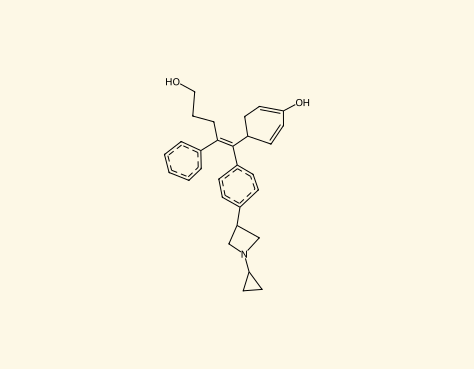 OCCC/C(=C(/c1ccc(C2CN(C3CC3)C2)cc1)C1C=CC(O)=CC1)c1ccccc1